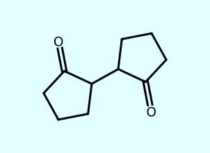 O=C1CCCC1C1CCCC1=O